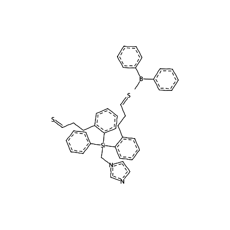 CB(c1ccccc1)c1ccccc1.S=CCCc1ccccc1[Si](Cn1ccnc1)(c1ccccc1)c1ccccc1CCC=S